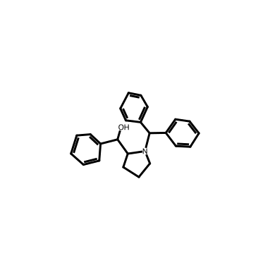 OC(c1ccccc1)C1CCCN1C(c1ccccc1)c1ccccc1